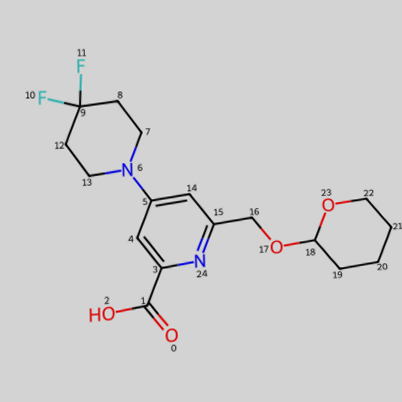 O=C(O)c1cc(N2CCC(F)(F)CC2)cc(COC2CCCCO2)n1